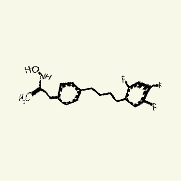 C=C(Cc1ccc(CCCCc2cc(F)c(F)cc2F)cc1)NO